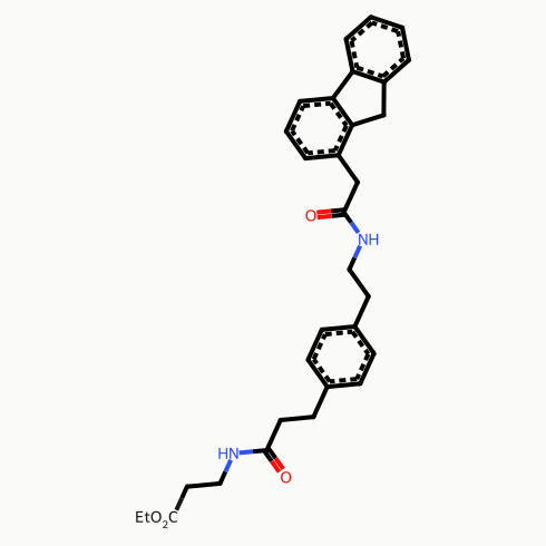 CCOC(=O)CCNC(=O)CCc1ccc(CCNC(=O)Cc2cccc3c2Cc2ccccc2-3)cc1